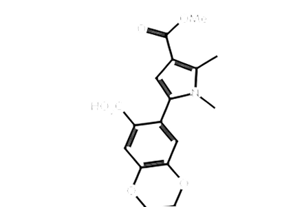 COC(=O)c1cc(-c2cc3c(cc2C(=O)O)OCCO3)n(C)c1C